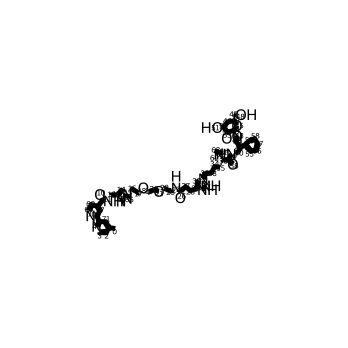 Cc1ccnc(-c2cc(C(=O)NCc3cn(CCOCCOCCNC(=O)CCC4=CN(CCCC[C@@H](C(=O)NCC(CO[C@@H]5O[C@H](CO)C[C@H](O)[C@H]5O)c5ccccc5)[N+](C)(C)C)NN4)nn3)ccn2)c1